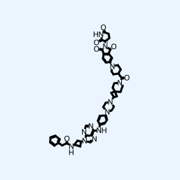 O=C1CC[C@H](N2C(=O)c3ccc(N4CCC(C(=O)N5CCC6(CC5)CC(N5CCN(c7ccc(Nc8ncnc9c8ncn9C8CC(NC(=O)Cc9ccccc9)C8)cc7)CC5)C6)CC4)cc3C2=O)C(=O)N1